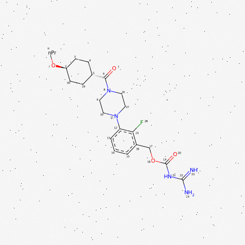 CCCO[C@H]1CC[C@H](C(=O)N2CCN(c3cccc(COC(=O)NC(=N)N)c3F)CC2)CC1